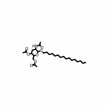 CCCCCCCCCCCCCCCCOC1OC(COC(C)=O)C(OC(C)=O)CC1NC(C)=O